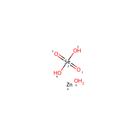 O.O=[Se](=O)(O)O.[Zn]